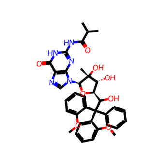 COc1ccccc1C(c1ccccc1)(c1ccccc1OC)C(O)[C@H]1O[C@@H](n2cnc3c(=O)[nH]c(NC(=O)C(C)C)nc32)[C@](C)(O)[C@@H]1O